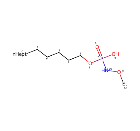 CCCCCCCCCCCCOP(=O)(O)NOCC